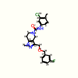 Cc1ccc(NC(=O)N2CCc3c(c(COCc4cccc(F)c4)nn3C)C2)cc1Cl